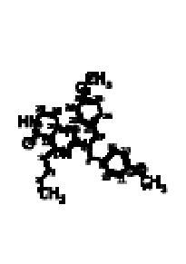 CCCCc1nc(N(Cc2ccc(OC)cc2)Cc2ccc(OC)cc2)nc2cc[nH]c(=O)c12